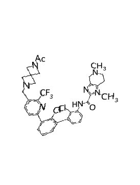 CC(=O)N1CC2(CN(Cc3ccc(-c4cccc(-c5cccc(NC(=O)c6nc7c(n6C)CCN(C)C7)c5Cl)c4Cl)nc3C(F)(F)F)C2)C1